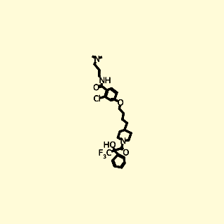 CN(C)CCCNC(=O)c1ccc(OCCCCC2CCN(C(=O)C(O)(c3ccccc3)C(F)(F)F)CC2)cc1Cl